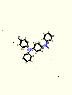 Cc1ccc(N(c2ccccc2)c2ccc(N(C)c3ccccc3)cc2)cc1